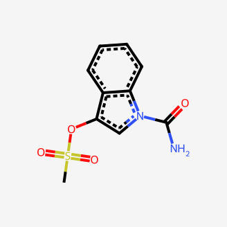 CS(=O)(=O)Oc1cn(C(N)=O)c2ccccc12